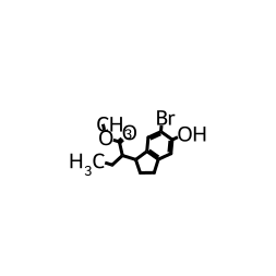 CCC(C(=O)OC)C1CCc2cc(O)c(Br)cc21